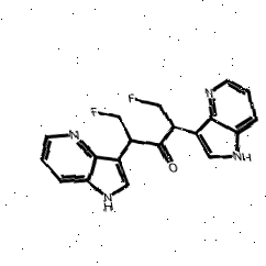 O=C(C(CF)c1c[nH]c2cccnc12)C(CF)c1c[nH]c2cccnc12